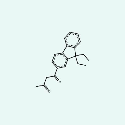 CCC1(CC)c2ccccc2-c2ccc(C(=O)CC(C)=O)cc21